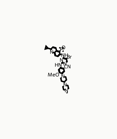 COc1cc(Nc2ncc(Br)c(Nc3ccc4nc(C5CC5)ccc4c3P(C)(C)=O)n2)c(C#N)cc1N1CCC(N2CCN(C)CC2)CC1